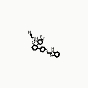 N#CCNC(=O)[C@@H]1CC(F)(F)CC[C@H]1c1ccccc1-c1ccc(SCc2nc3ccccc3[nH]2)cc1